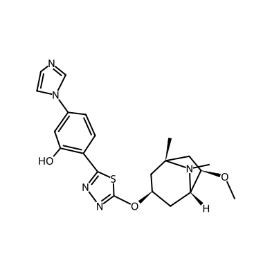 CO[C@@H]1C[C@@]2(C)C[C@H](Oc3nnc(-c4ccc(-n5ccnc5)cc4O)s3)C[C@@H]1N2C